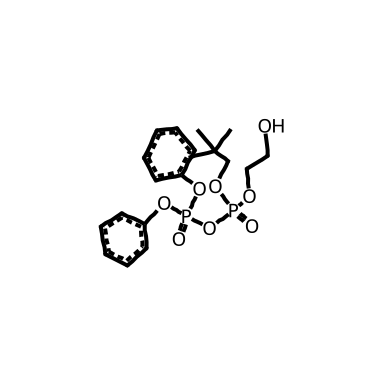 CC(C)(C)COP(=O)(OCCO)OP(=O)(Oc1ccccc1)Oc1ccccc1